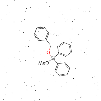 CO[Si](OCc1ccccc1)(c1ccccc1)c1ccccc1